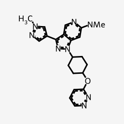 CNc1cc2c(cn1)c(-c1cnn(C)c1)nn2C1CCC(Oc2cccnn2)CC1